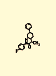 CC(C(=O)Nc1ccc(F)cc1)C1CCC(c2ccccc2)CC1